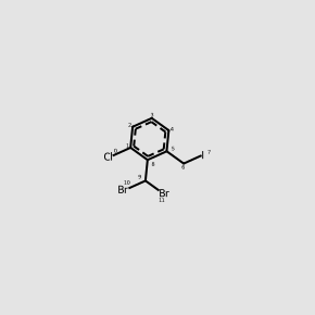 Clc1cccc(CI)c1C(Br)Br